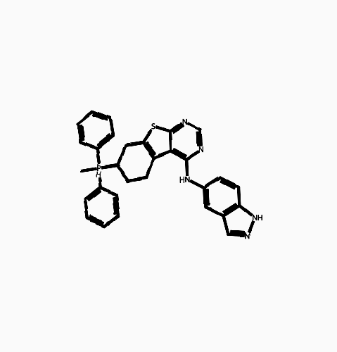 C[PH](c1ccccc1)(c1ccccc1)C1CCc2c(sc3ncnc(Nc4ccc5[nH]ncc5c4)c23)C1